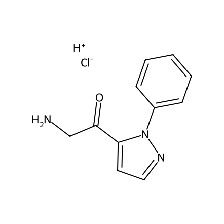 NCC(=O)c1ccnn1-c1ccccc1.[Cl-].[H+]